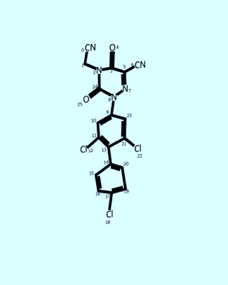 N#CCn1c(=O)c(C#N)nn(-c2cc(Cl)c(-c3ccc(Cl)cc3)c(Cl)c2)c1=O